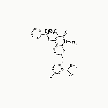 CCOC(=O)c1c(OC(=O)c2ccccc2)c2ncc(Cc3ccc(F)cc3C(N)C(C)=O)cc2n(C)c1=O